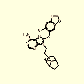 CN1C2CCC1CC(CCn1c(Sc3cc4c(cc3Br)OCO4)nc3c(N)ncnc31)C2